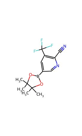 CC1(C)OB(c2cnc(C#N)c(C(F)(F)F)c2)OC1(C)C